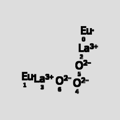 [Eu].[Eu].[La+3].[La+3].[O-2].[O-2].[O-2]